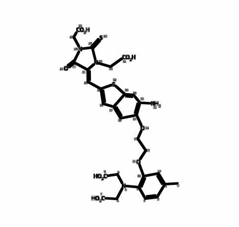 Cc1ccc(N(CC(=O)O)CC(=O)O)c(OCCOc2cc3cc(C=C4C(=O)N(CC(=O)O)C(=S)N4CC(=O)O)sc3cc2N)c1